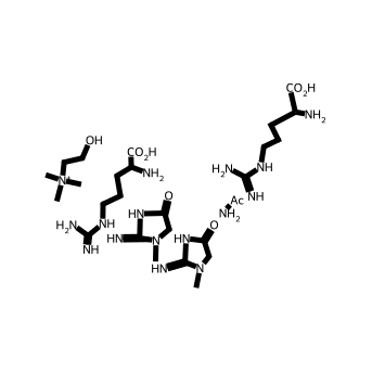 CC(N)=O.CN1CC(=O)NC1=N.CN1CC(=O)NC1=N.C[N+](C)(C)CCO.N=C(N)NCCCC(N)C(=O)O.N=C(N)NCCCC(N)C(=O)O